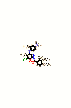 CCN(CC)c1ccc(/N=C2\C=C(NC(=O)c3ccc(OC)c(OC)c3OC)C(=O)C(Cl)=C2C)c(C)c1